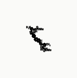 CC[C@H](NC(=O)OC)C(=O)N1C[C@@H](C)C[C@H]1c1ncc(-c2ccc3cc(-c4ccc(-c5cnc([C@@H]6C[C@H](C)CN6C(=O)CNC(=O)OC)[nH]5)cc4)ccc3c2)[nH]1